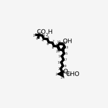 CC(C)(CCCCCCc1cc(O)cc(CCCCCCC2(OC=O)CC2)c1)C(=O)O